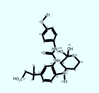 CCOc1ccc(NC(=O)Nc2cc(C(C)(C)CC(=O)O)ccc2N(CC)C2CCSC(O)(O)C2)cc1